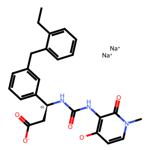 CCc1ccccc1Cc1cccc([C@H](CC(=O)[O-])NC(=O)Nc2c([O-])ccn(C)c2=O)c1.[Na+].[Na+]